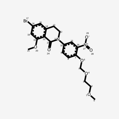 COCCOCOc1ccc(N2CCc3cc(Br)cc(OC)c3C2=O)cc1[N+](=O)[O-]